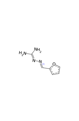 NC(N)=N/N=C/c1ccco1